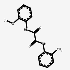 CCOc1ccccc1NC(=O)C(=O)Nc1ccccc1C